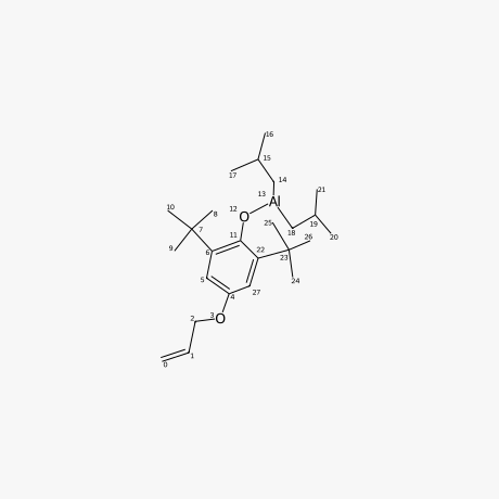 C=CCOc1cc(C(C)(C)C)c([O][Al]([CH2]C(C)C)[CH2]C(C)C)c(C(C)(C)C)c1